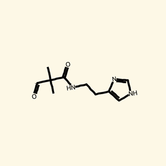 CC(C)([C]=O)C(=O)NCCc1c[nH]cn1